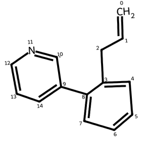 C=CCc1ccccc1-c1[c]nccc1